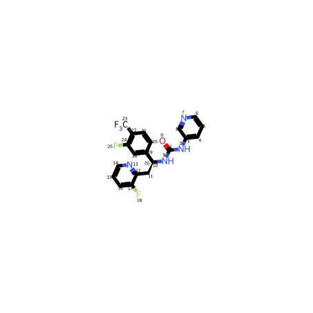 O=C(Nc1cccnc1)N[C@@H](Cc1ncccc1F)c1ccc(C(F)(F)F)c(F)c1